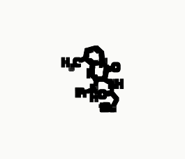 Cc1cccn2c(=O)c(NC(=O)CC(C)(C)C)c(NC(C)C)nc12